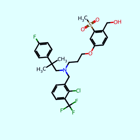 CC(C)(CN(CCCOc1ccc(CO)c(S(C)(=O)=O)c1)Cc1cccc(C(F)(F)F)c1Cl)c1ccc(F)cc1